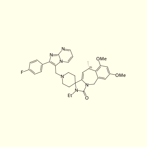 CCN1C(=O)N2Cc3cc(OC)cc(OC)c3[C@@H](C)C=C2C12CCN(Cc1c(-c3ccc(F)cc3)nc3ncccn13)CC2